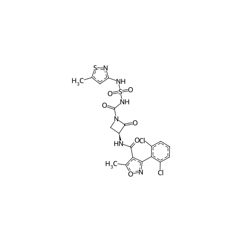 Cc1cc(NS(=O)(=O)NC(=O)N2C[C@H](NC(=O)c3c(-c4c(Cl)cccc4Cl)noc3C)C2=O)ns1